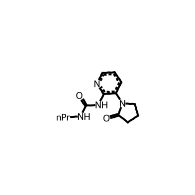 CCCNC(=O)Nc1ncccc1N1CCCC1=O